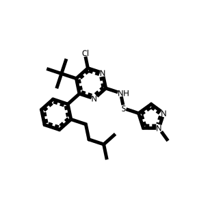 CC(C)CCc1ccccc1-c1nc(NSc2cnn(C)c2)nc(Cl)c1C(C)(C)C